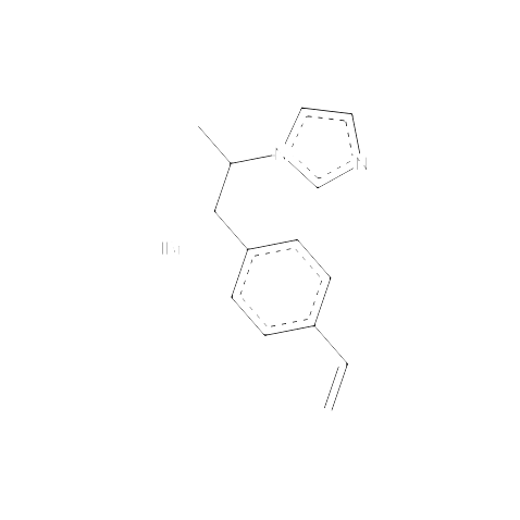 Br.C=Cc1ccc(CC(C)n2ccnc2)cc1